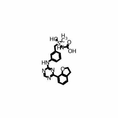 C[SH](O)(Cc1cccc(Nc2ncnc(-c3cccc4c3OCC4)n2)c1)=NC(=O)O